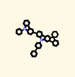 c1ccc(-c2ccc(-n3c4cc(-c5ccc6c(c5)c5ccccc5n6-c5ccccc5)ccc4c4cc5c(cc43)-c3ccccc3C53CCCCC3)cc2)cc1